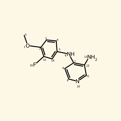 COc1ccc(Nc2ccncc2N)cc1F